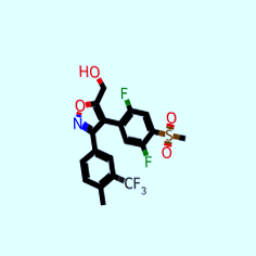 Cc1ccc(-c2noc(CO)c2-c2cc(F)c(S(C)(=O)=O)cc2F)cc1C(F)(F)F